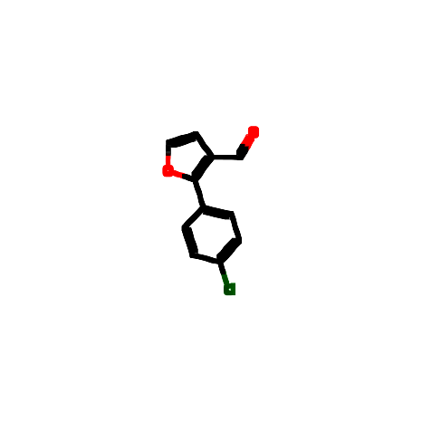 O=Cc1ccoc1-c1ccc(Cl)cc1